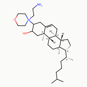 CC(C)CCC[C@@H](C)[C@H]1CC[C@H]2[C@@H]3CC=C4CC([N+]5(CCN)CCOCC5)C(O)C[C@]4(C)[C@H]3CC[C@]12C